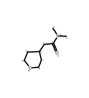 CN(C)C(=O)CC1CCOCC1